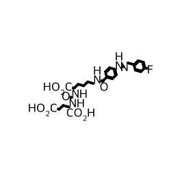 O=C(O)CCC(NC(=O)NC(CCCCNC(=O)c1ccc(N/N=C/c2ccc(F)cc2)cc1)C(=O)O)C(=O)O